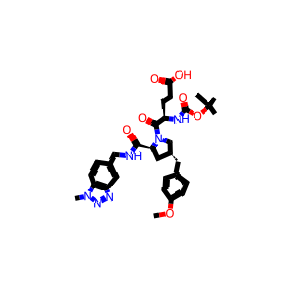 COc1ccc(C[C@@H]2C[C@@H](C(=O)NCc3ccc4c(c3)nnn4C)N(C(=O)[C@@H](CCC(=O)O)NC(=O)OC(C)(C)C)C2)cc1